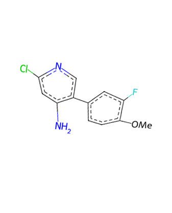 COc1ccc(-c2cnc(Cl)cc2N)cc1F